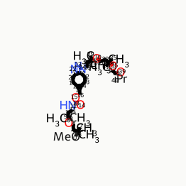 COC(C)(C)CCOC(C)(C)CCNC(=O)OCC1C2CCc3nnn(CCC(C)(C)OCCC(C)(C)OCC(=O)C(C)C)c3CCC21